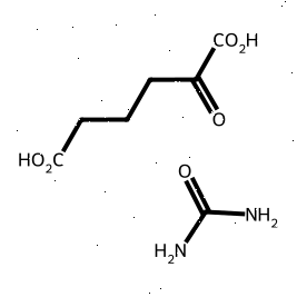 NC(N)=O.O=C(O)CCCC(=O)C(=O)O